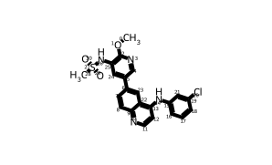 COc1ncc(-c2ccc3nccc(Nc4cccc(Cl)c4)c3c2)cc1NS(C)(=O)=O